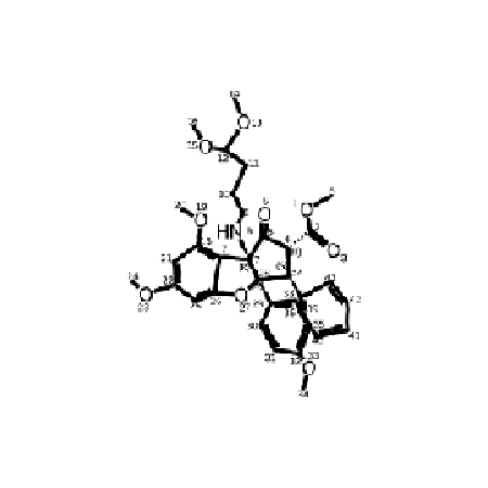 COC(=O)[C@H]1C(=O)[C@@]2(NCCCC(OC)OC)c3c(OC)cc(OC)cc3O[C@@]2(c2ccc(OC)cc2)[C@@H]1c1ccccc1